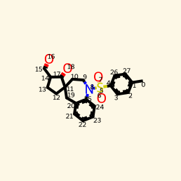 Cc1ccc(S(=O)(=O)N2CCC3(CCC(C=O)C3=O)Cc3ccccc32)cc1